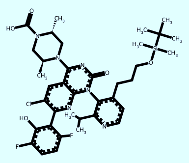 CC(C)c1nccc(CCCO[Si](C)(C)C(C)(C)C)c1-n1c(=O)nc(N2C[C@@H](C)N(C(=O)O)C[C@@H]2C)c2cc(Cl)c(-c3c(F)ccc(F)c3O)nc21